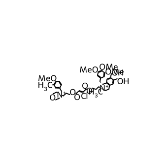 COc1ccc(C[N+]2(CCCOC(=O)/C=C(\Cl)C(=O)OCCC[N@+]3(C)CCc4cc(CO)c(CO)cc4[C@H]3Cc3cc(OC)c(OC)c(OC)c3)CCOCC2)cc1C